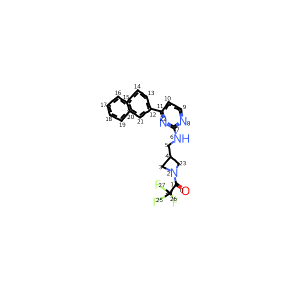 O=C(N1CC(CNc2nccc(-c3ccc4ccccc4c3)n2)C1)C(F)(F)F